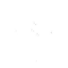 O.OC1=C2C=C(Br)c3ccccc3N2NN1c1ccc(Cl)cc1